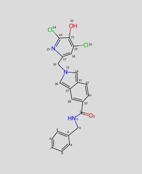 O=C(NCc1ccccc1)c1ccc2cn(Cc3cc(Cl)c(O)c(Cl)n3)cc2c1